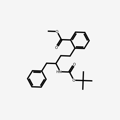 COC(=O)c1ccccc1CCC(Cc1ccccc1)NC(=O)OC(C)(C)C